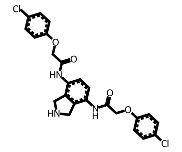 O=C(COc1ccc(Cl)cc1)Nc1ccc(NC(=O)COc2ccc(Cl)cc2)c2c1CNC2